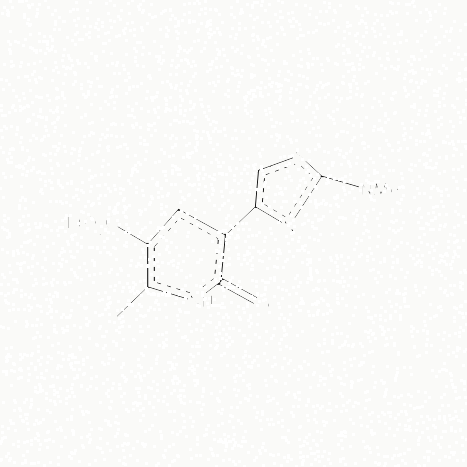 CCOC(=O)c1cc(-c2csc(NC)n2)c(=O)[nH]c1C